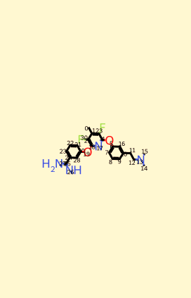 Cc1c(F)c(Oc2cccc(CCN(C)C)c2)nc(Oc2cccc(C(=N)N)c2)c1F